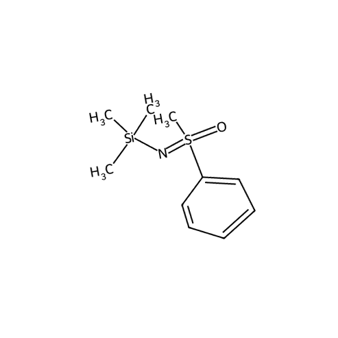 C[Si](C)(C)N=S(C)(=O)c1ccccc1